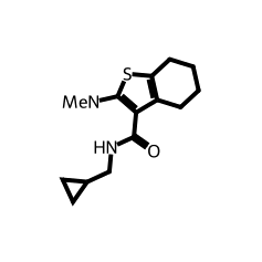 CNc1sc2c(c1C(=O)NCC1CC1)CCCC2